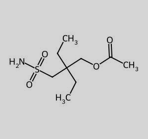 CCC(CC)(COC(C)=O)CS(N)(=O)=O